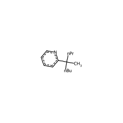 CCCCC(C)(CCC)c1ccccn1